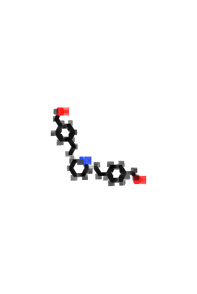 OCc1ccc(CC[C@H]2CCC[C@@H](CCc3ccc(CO)cc3)N2)cc1